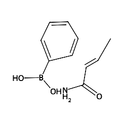 CC=CC(N)=O.OB(O)c1ccccc1